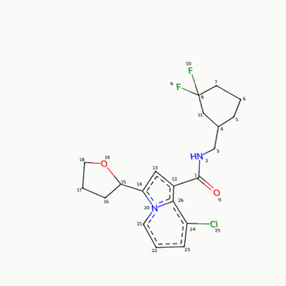 O=C(NCC1CCCC(F)(F)C1)c1cc(C2CCCO2)n2cccc(Cl)c12